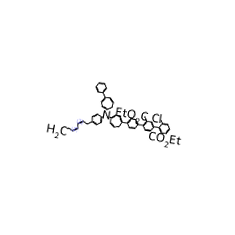 C=C/C=C\C=C/Cc1ccc(N(C2=CC=C(c3ccc(-c4cc(C(=O)OCC)c(-c5ccccc5Cl)cc4C(=O)OCC)cc3)CC=C2)C2=CC=C(c3ccccc3)C=CC2)cc1